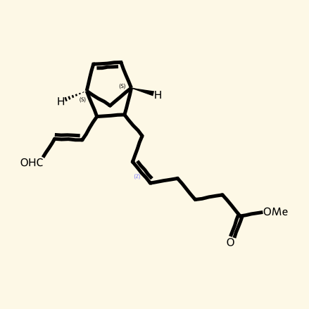 COC(=O)CCC/C=C\CC1C(C=CC=O)[C@H]2C=C[C@H]1C2